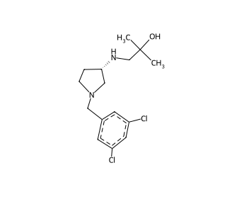 CC(C)(O)CN[C@H]1CCN(Cc2cc(Cl)cc(Cl)c2)C1